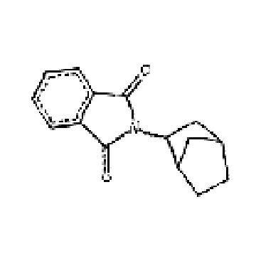 O=C1c2ccccc2C(=O)N1C1CC2CCC1C2